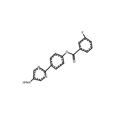 CCCCCCc1cnc(-c2ccc(OC(=O)c3cccc(F)c3)cc2)nc1